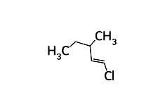 CCC(C)C=CCl